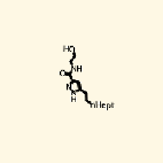 CCCCCCCCCc1cc(C(=O)NCCO)n[nH]1